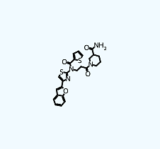 NC(=O)C1CCCN(C(=O)CCN(C(=O)c2cccs2)c2nc(-c3cc4ccccc4o3)cs2)C1